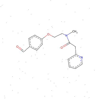 CN(CCOc1ccc(C=O)cc1)C(=O)Cc1ccccn1